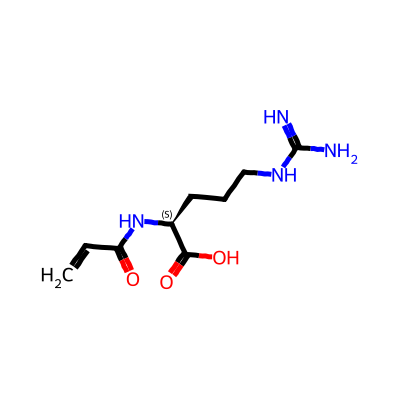 C=CC(=O)N[C@@H](CCCNC(=N)N)C(=O)O